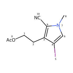 CC(=O)OCCc1c(I)cn(C)c1C#N